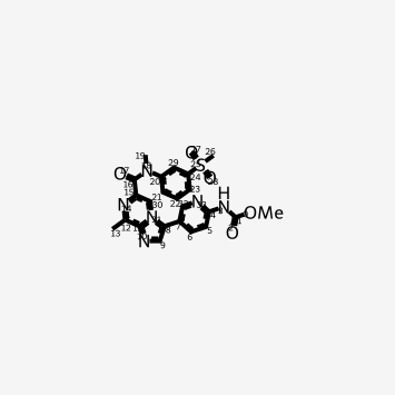 COC(=O)Nc1ccc(-c2cnc3c(C)nc(C(=O)N(C)c4cccc(S(C)(=O)=O)c4)cn23)cn1